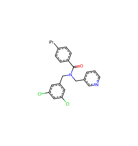 CC(C)c1ccc(C(=O)N(Cc2cccnc2)Cc2cc(Cl)cc(Cl)c2)cc1